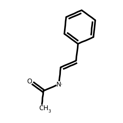 CC(=O)[N]C=Cc1ccccc1